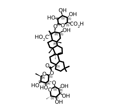 C[C@@H]1O[C@@H](O[C@H]2[C@H](OC(=O)[C@]34CCC(C)(C)CC3C3=CCC5[C@@]6(C)C[C@H](O)[C@H](O[C@@H]7O[C@H](C(=O)O)[C@@H](O)[C@H](O)[C@H]7O)[C@@](C)(C(=O)O)C6CC[C@@]5(C)[C@]3(C)CC4)O[C@H](C)[C@H](O)[C@@H]2O)[C@H](O)[C@H](O)[C@H]1O